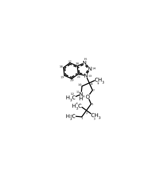 CCC(C)(C)COCC(C)(CNC)n1nnc2ccccc21